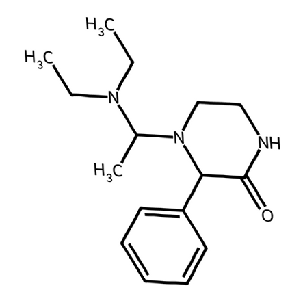 CCN(CC)C(C)N1CCNC(=O)C1c1ccccc1